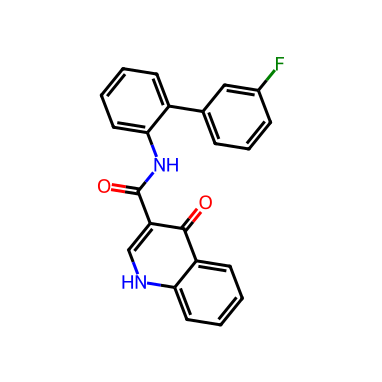 O=C(Nc1ccccc1-c1cccc(F)c1)c1c[nH]c2ccccc2c1=O